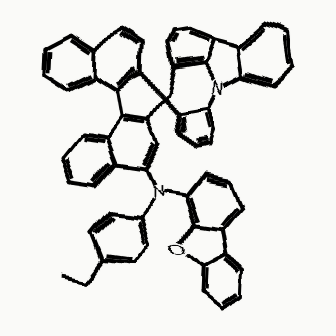 CCc1ccc(N(c2cc3c(c4ccccc24)-c2c(ccc4ccccc24)C32c3ccccc3-n3c4ccccc4c4cccc2c43)c2cccc3c2oc2ccccc23)cc1